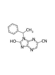 CC(c1ccccc1)n1c(O)nc2ncc(C#N)nc21